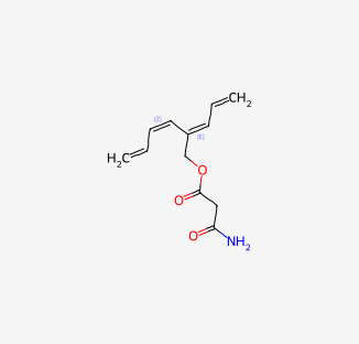 C=C/C=C\C(=C/C=C)COC(=O)CC(N)=O